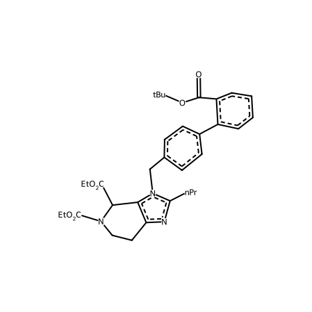 CCCc1nc2c(n1Cc1ccc(-c3ccccc3C(=O)OC(C)(C)C)cc1)C(C(=O)OCC)N(C(=O)OCC)CC2